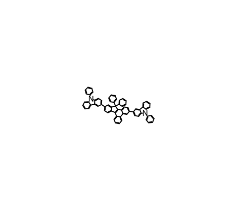 c1ccc(-n2c3ccccc3c3cc(-c4ccc5c(c4)C(c4ccccc4)(c4ccccc4)c4c-5c5ccccc5c5cc(-c6ccc7c(c6)c6ccccc6n7-c6ccccc6)ccc45)ccc32)cc1